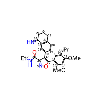 CCNC(=O)c1noc(-c2cc(C(C)C)c(OC)cc2OC)c1-c1ccc2c(c1)C(=N)CCC2